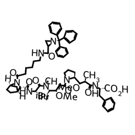 CC[C@H](C)[C@@H]([C@@H](CC(=O)N1CCC[C@H]1[C@H](OC)[C@@H](C)C(=O)N[C@@H](Cc1ccccc1)C(=O)O)OC)N(C)C(=O)[C@@H](NC(=O)[C@@H]1[C@H]2CC[C@H](C2)N1C(=O)CCCCCNC(=O)C1C[N@]1C(c1ccccc1)(c1ccccc1)c1ccccc1)C(C)C